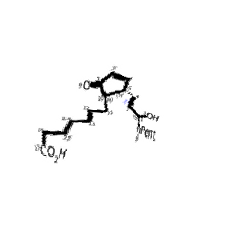 CCCCC[C@H](O)/C=C/[C@H]1C=CC(=O)[C@@H]1CC=CCCCC(=O)O